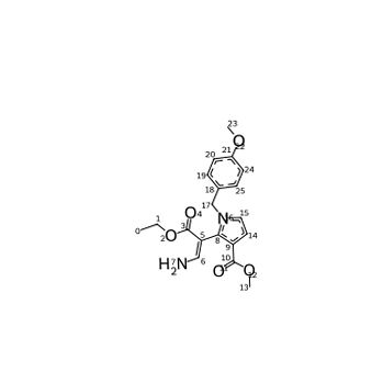 CCOC(=O)C(=CN)c1c(C(=O)OC)ccn1Cc1ccc(OC)cc1